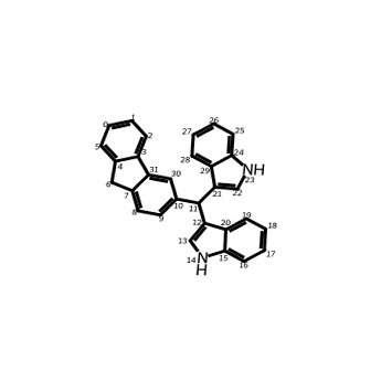 c1ccc2c(c1)Cc1ccc(C(c3c[nH]c4ccccc34)c3c[nH]c4ccccc34)cc1-2